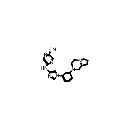 N#Cc1cnc(Nc2cn(-c3cccc(N4CCN5CCCC5C4)c3)cn2)cn1